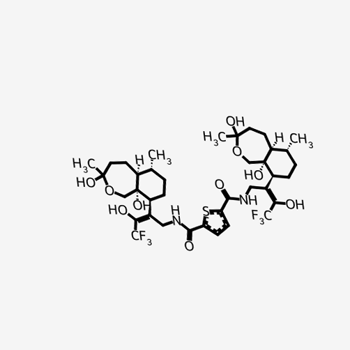 C[C@@H]1CC[C@@H](/C(CNC(=O)c2ccc(C(=O)NC/C(=C(/O)C(F)(F)F)[C@@H]3CC[C@@H](C)[C@@H]4CCC(C)(O)OC[C@]34O)s2)=C(\O)C(F)(F)F)[C@@]2(O)COC(C)(O)CC[C@@H]12